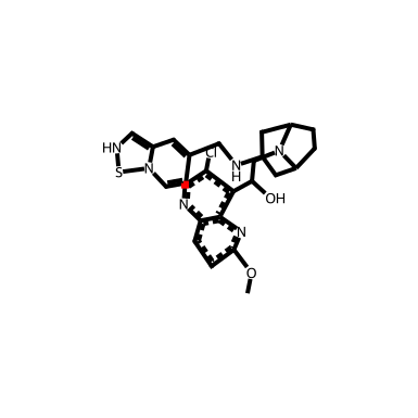 COc1ccc2ncc(Cl)c(C(O)CN3C4CCC3CC(NCC3=CC5=CNSN5C=C3)C4)c2n1